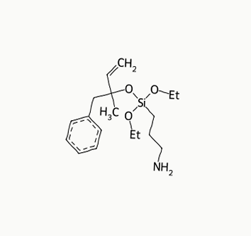 C=CC(C)(Cc1ccccc1)O[Si](CCCN)(OCC)OCC